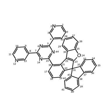 c1cncc(-c2nc(-c3cccnc3)nc(-c3cccc4c3-c3c(oc5ccccc35)C43c4ccccc4-c4ccccc43)n2)c1